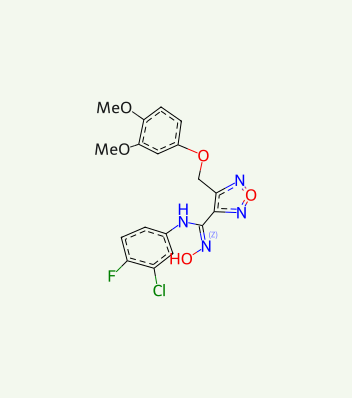 COc1ccc(OCc2nonc2/C(=N/O)Nc2ccc(F)c(Cl)c2)cc1OC